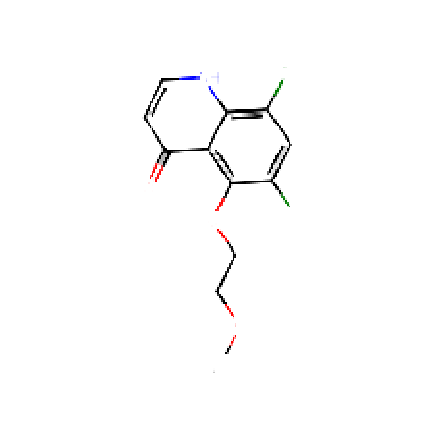 COCCOc1c(F)cc(Br)c2[nH]ccc(=O)c12